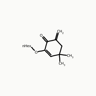 C=C1CC(C)(C)C=C(OCCCCCC)C1=O